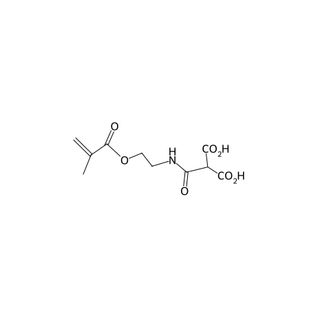 C=C(C)C(=O)OCCNC(=O)C(C(=O)O)C(=O)O